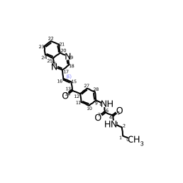 CCCNC(=O)C(=O)Nc1ccc(C(=O)/C=C/c2cnc3ccccc3n2)cc1